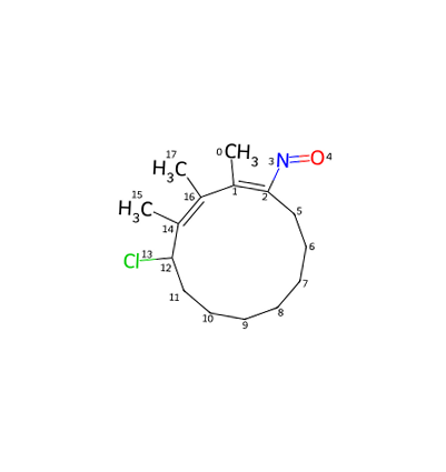 CC1=C(N=O)CCCCCCCC(Cl)C(C)=C1C